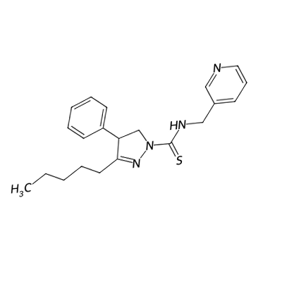 CCCCCC1=NN(C(=S)NCc2cccnc2)CC1c1ccccc1